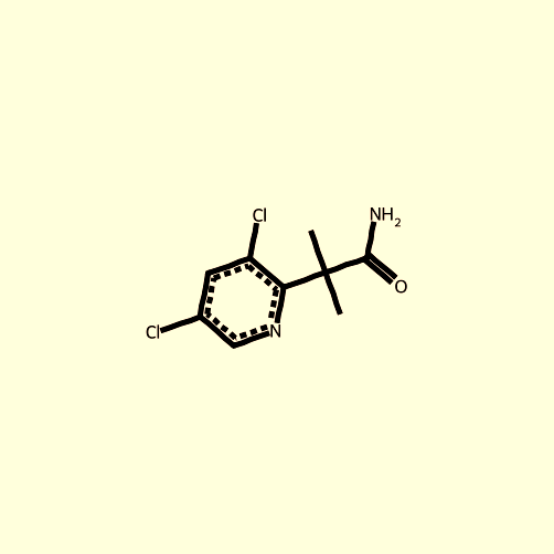 CC(C)(C(N)=O)c1ncc(Cl)cc1Cl